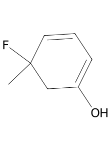 CC1(F)C=CC=C(O)C1